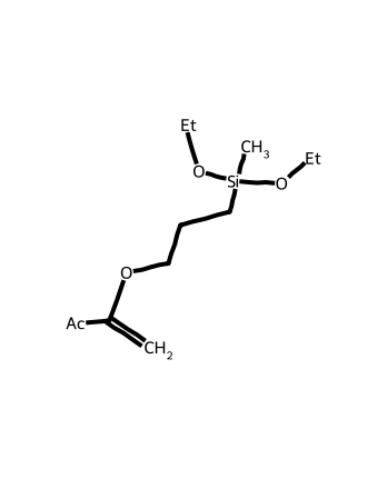 C=C(OCCC[Si](C)(OCC)OCC)C(C)=O